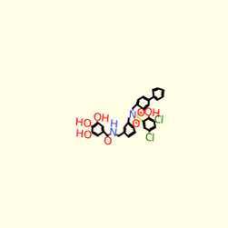 O=C(NCc1cccc(CN(Cc2ccc(-c3ccccc3)cc2)S(=O)(=O)c2cc(Cl)cc(Cl)c2O)c1)c1cc(O)c(O)c(O)c1